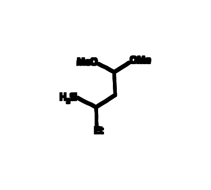 [CH2]CC([SiH3])CC(OC)OC